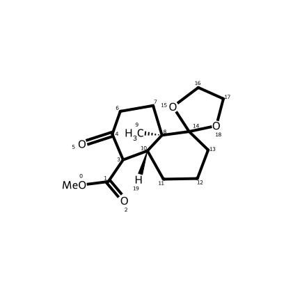 COC(=O)C1C(=O)CC[C@]2(C)[C@@H]1CCCC21OCCO1